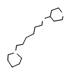 C(CCCN1CCCCC1)CCOC1CCNCC1